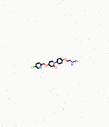 CC(C)NCCOc1ccc(-n2ccc(OCc3ccc(Cl)cn3)cc2=O)cc1